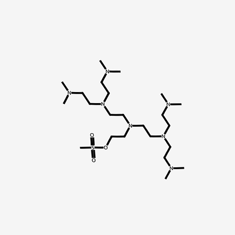 CN(C)CCN(CCN(C)C)CCN(CCOS(C)(=O)=O)CCN(CCN(C)C)CCN(C)C